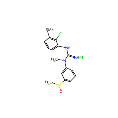 CSc1cccc(NC(=N)N(C)c2cccc([S+](C)[O-])c2)c1Cl.Cl